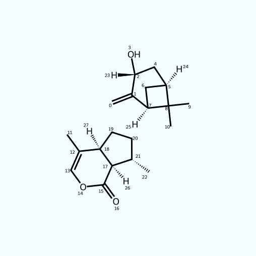 C=C1[C@H](O)C[C@@H]2C[C@H]1C2(C)C.CC1=COC(=O)[C@H]2[C@@H]1CC[C@@H]2C